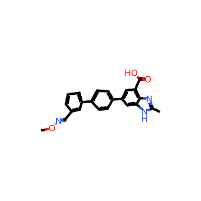 CON=Cc1cccc(-c2ccc(-c3cc(C(=O)O)c4nc(C)[nH]c4c3)cc2)c1